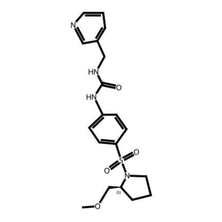 COC[C@@H]1CCCN1S(=O)(=O)c1ccc(NC(=O)NCc2cccnc2)cc1